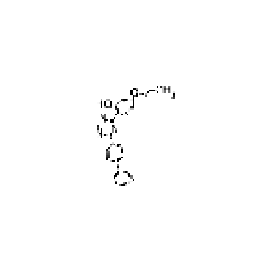 CCCOc1ccc(-c2ncnc(-c3ccc(-c4ccccc4)cc3)n2)c(O)c1